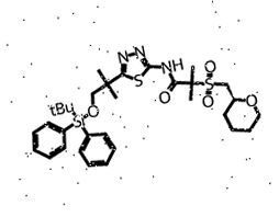 CC(C)(CO[Si](c1ccccc1)(c1ccccc1)C(C)(C)C)c1nnc(NC(=O)C(C)(C)S(=O)(=O)C[C@@H]2CCCCO2)s1